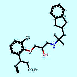 C=CC(CC(=O)OCC)c1cccc(C#N)c1OCC(O)CNC(C)(C)CC1Cc2ccccc2C1